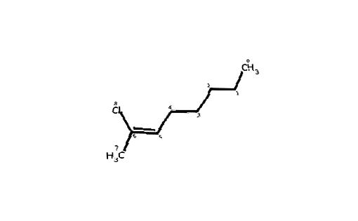 CCCCCC=C(C)Cl